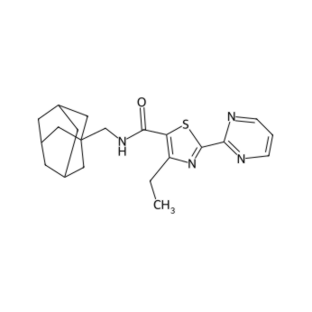 CCc1nc(-c2ncccn2)sc1C(=O)NCC12CC3CC(CC(C3)C1)C2